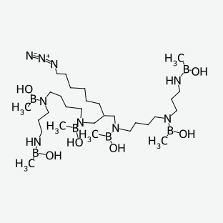 CB(O)NCCCN(CCCCN(CC(CCCCCCN=[N+]=[N-])CN(CCCCN(CCCNB(C)O)B(C)O)B(C)O)B(C)O)B(C)O